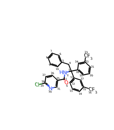 O=C(NC(Cc1ccccc1)(c1cccc(C(F)(F)F)c1)c1cccc(C(F)(F)F)c1)c1ccc(Cl)nc1